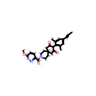 CC#Cc1cc(C)c(C2C(=O)CC3(CCN(C(=O)c4ccc(OC)nn4)CC3)CC2=O)c(C)c1